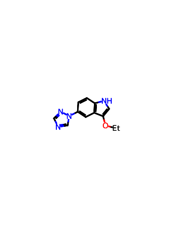 CCOc1c[nH]c2ccc(-n3cncn3)cc12